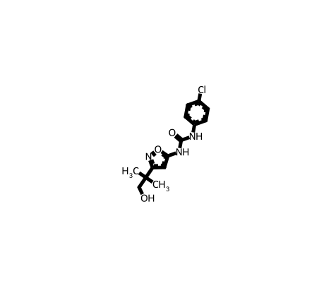 CC(C)(CO)c1cc(NC(=O)Nc2ccc(Cl)cc2)on1